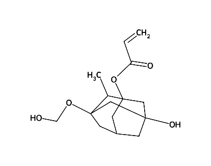 C=CC(=O)OC12CC3CC(O)(CC(OCO)(C3)C1C)C2